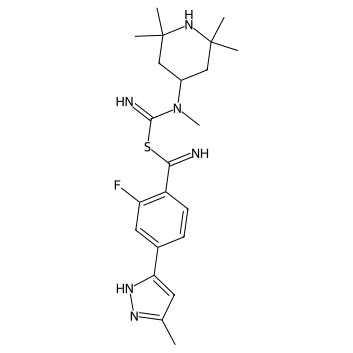 Cc1cc(-c2ccc(C(=N)SC(=N)N(C)C3CC(C)(C)NC(C)(C)C3)c(F)c2)[nH]n1